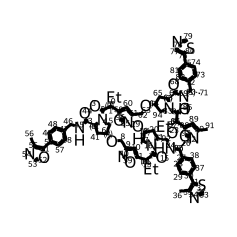 CC[C@@H](C(=O)N1C[C@H](OCc2cc([C@@H](CC)C(=O)N3C[C@H](O)C[C@H]3C(=O)N[C@@H](C)c3ccc(-c4scnc4C)cc3)on2)C[C@H]1C(=O)NCc1ccc(-c2ocnc2C)cc1)c1cc(CO[C@@H]2C[C@@H](C(=O)N[C@@H](C)c3ccc(-c4cncs4)cc3)N(C(=O)[C@H](CC)c3cc(C)no3)C2)no1